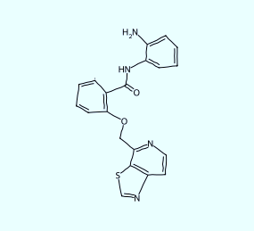 Nc1ccccc1NC(=O)c1[c]cccc1OCc1nccc2ncsc12